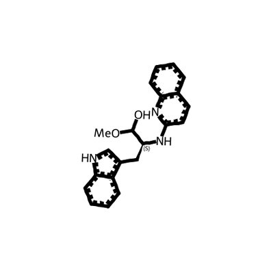 COC(O)[C@H](Cc1c[nH]c2ccccc12)Nc1ccc2ccccc2n1